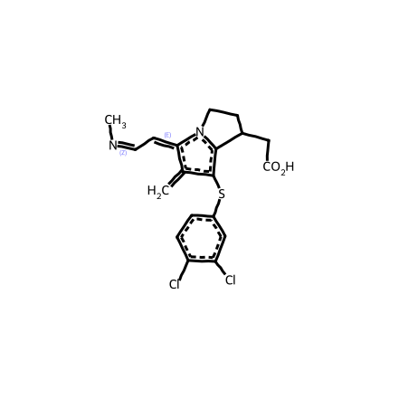 C=c1c(Sc2ccc(Cl)c(Cl)c2)c2n(/c1=C/C=N\C)CCC2CC(=O)O